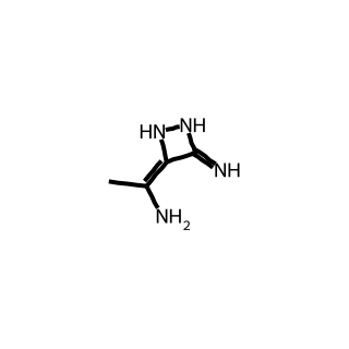 C/C(N)=C1\NNC1=N